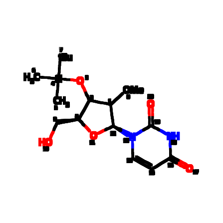 COC1C(O[Si](C)(C)C(C)(C)C)[C@H](CO)O[C@@H]1n1ccc(=O)[nH]c1=O